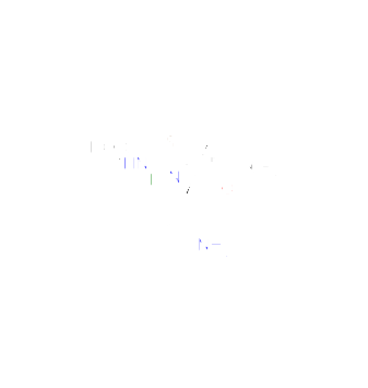 Nc1ccc(F)c([C@]23CO[C@@H](C(F)(F)F)C[C@H]2CSC(NC(=O)O)=N3)c1